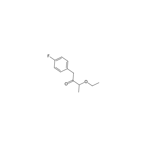 CCOC(C)C(=O)Cc1ccc(F)cc1